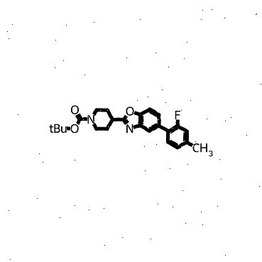 Cc1ccc(-c2ccc3oc(C4CCN(C(=O)OC(C)(C)C)CC4)nc3c2)c(F)c1